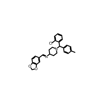 Cc1ccc(C(c2ccccc2Cl)N2CCC(N=Cc3ccc4c(c3)OCO4)CC2)cc1